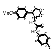 COc1ccc(C2COON2NC(=O)Nc2ccc(Cl)cc2)cc1